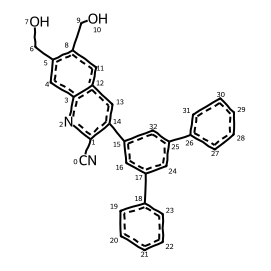 N#Cc1nc2cc(CO)c(CO)cc2cc1-c1cc(-c2ccccc2)cc(-c2ccccc2)c1